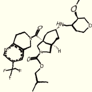 COC1COCCC1N[C@@H]1C[C@H]2CN(C(=O)OCC(C)C)C[C@@]2(C(=O)N2CCc3ncc(C(F)(F)F)cc3C2)C1